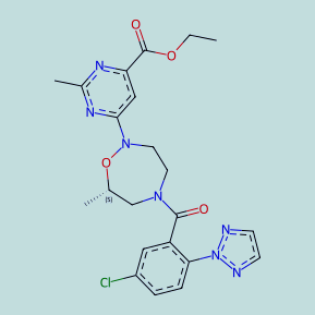 CCOC(=O)c1cc(N2CCN(C(=O)c3cc(Cl)ccc3-n3nccn3)C[C@H](C)O2)nc(C)n1